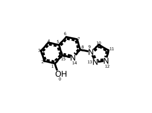 Oc1cccc2ccc(-n3ccnn3)nc12